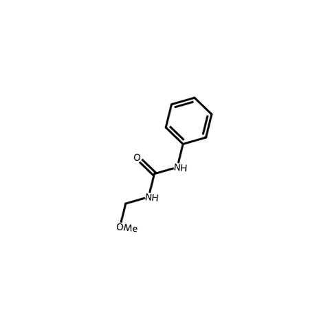 COCNC(=O)Nc1ccccc1